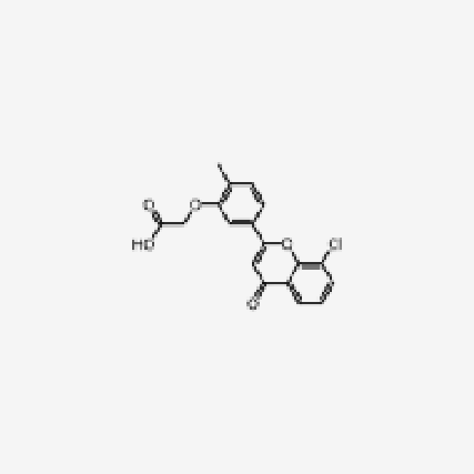 Cc1ccc(-c2cc(=O)c3cccc(Cl)c3o2)cc1OCC(=O)O